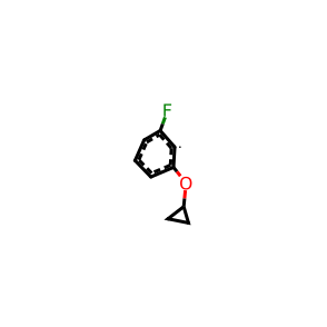 Fc1[c]c(OC2CC2)ccc1